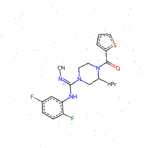 CCCC1CN(/C(=N\C#N)Nc2cc(F)ccc2F)CCN1C(=O)c1cccs1